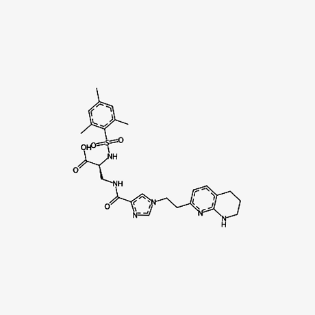 Cc1cc(C)c(S(=O)(=O)N[C@@H](CNC(=O)c2cn(CCc3ccc4c(n3)NCCC4)cn2)C(=O)O)c(C)c1